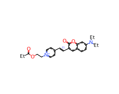 CCC(=O)OCC[n+]1ccc(/C=C/c2cc3ccc(N(CC)CC)cc3oc2=O)cc1